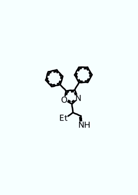 CCC(C=N)c1nc(-c2ccccc2)c(-c2ccccc2)o1